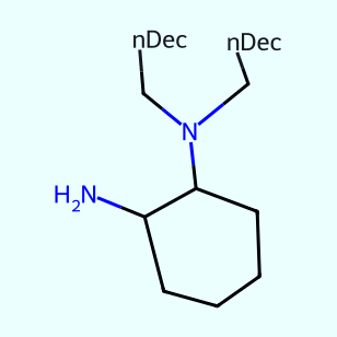 CCCCCCCCCCCN(CCCCCCCCCCC)C1CCCCC1N